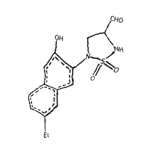 CCc1ccc2cc(O)c(N3CC(C=O)NS3(=O)=O)cc2c1